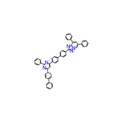 C1=CC(c2cc(-c3ccc(-c4ccc(-c5nc6c(-c7ccccc7)cc(-c7ccccc7)cn6n5)cc4)cc3)nc(-c3ccccc3)n2)CC=C1c1ccccc1